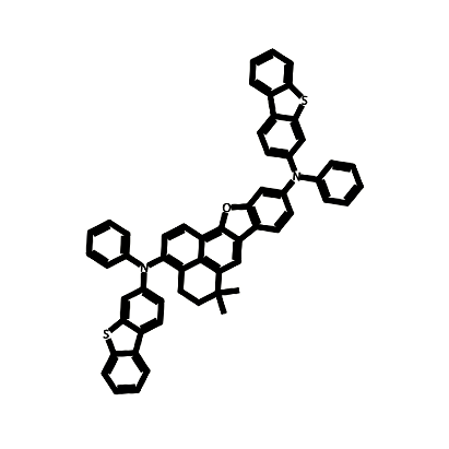 CC1(C)CCc2c(N(c3ccccc3)c3ccc4c(c3)sc3ccccc34)ccc3c2c1cc1c2ccc(N(c4ccccc4)c4ccc5c(c4)sc4ccccc45)cc2oc31